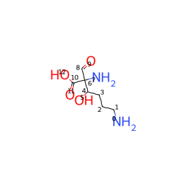 NCCCC(O)C(N)(C=O)C(=O)O